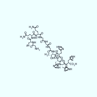 CC(C)C[C@H](NC(=O)CN)C(=O)N[C@@H](CCC(N)=O)C(=O)N[C@@H](CCC(N)=O)C(=O)NCC(=O)NCC(=O)NCC(=O)N[C@H](C(=O)N[C@@H](Cc1c[nH]cn1)C(=O)N[C@@H](Cc1c[nH]cn1)C(=O)N[C@@H](Cc1c[nH]cn1)C(=O)N[C@@H](Cc1c[nH]cn1)C(=O)O)[C@@H](C)O